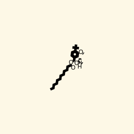 CCCCCCCCCCCC(=O)OC(O[SiH](C)C)c1ccc(C(C)(C)C)c(OC)c1